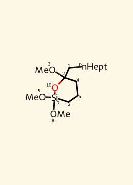 CCCCCCCCC1(OC)CCC[Si](OC)(OC)O1